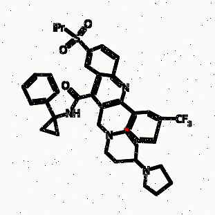 CC(C)S(=O)(=O)c1ccc2nc(-c3cccc(C(F)(F)F)c3)c(CN3CCC(N4CCCC4)CC3)c(C(=O)NC3(c4ccccc4)CC3)c2c1